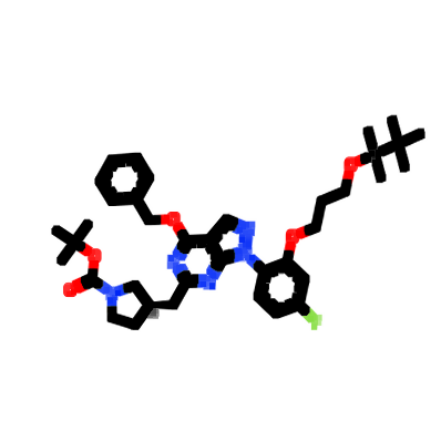 CC(C)(C)OC(=O)N1CC[C@H](Cc2nc(OCc3ccccc3)c3cnn(-c4ccc(F)cc4OCCCO[Si](C)(C)C(C)(C)C)c3n2)C1